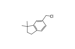 CC1(C)CCc2ccc(CCl)cc21